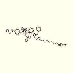 CCCCCCCCCCCCCCCCCCOC[C@H](COC(=O)[C@H](C)NP(=O)(Oc1ccccc1)Oc1ccc([N+](=O)[O-])cc1)OCc1ccccc1